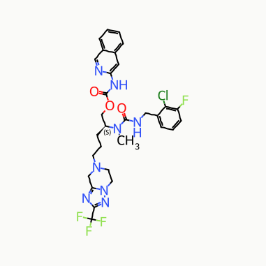 CN(C(=O)NCc1cccc(F)c1Cl)[C@@H](CCCN1CCn2nc(C(F)(F)F)nc2C1)COC(=O)Nc1cc2ccccc2cn1